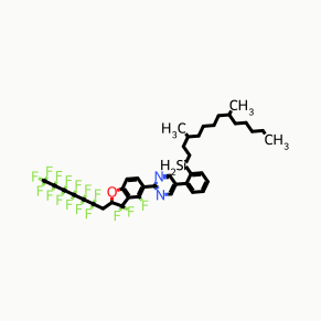 CCCCCC(C)CCCCC(C)CC[SiH2]c1ccccc1-c1cnc(-c2ccc3c(c2F)C(F)(F)C(CC(F)(F)C(F)(F)C(F)(F)C(F)(F)C(F)(F)C(F)(F)F)O3)nc1